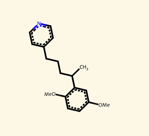 COc1ccc(OC)c(C(C)CCCc2ccncc2)c1